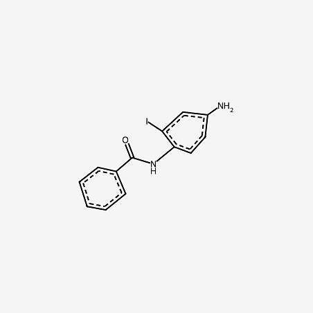 Nc1ccc(NC(=O)c2ccccc2)c(I)c1